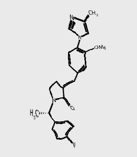 COc1cc(/C=C2\CCN([C@@H](C)c3ccc(F)cc3)C2=O)ccc1-n1cnc(C)c1